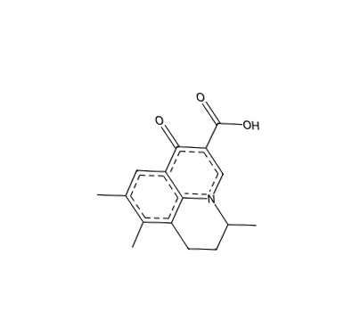 Cc1cc2c(=O)c(C(=O)O)cn3c2c(c1C)CCC3C